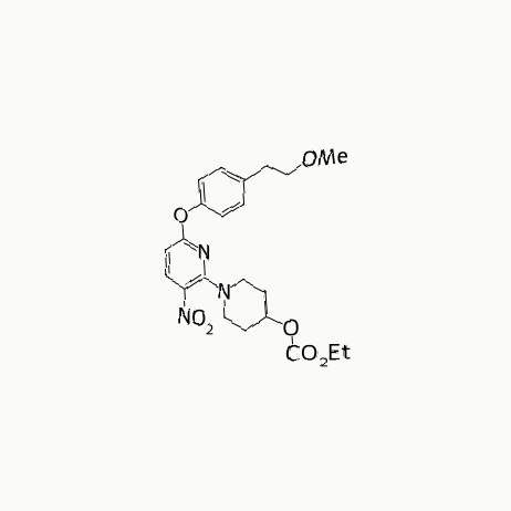 CCOC(=O)OC1CCN(c2nc(Oc3ccc(CCOC)cc3)ccc2[N+](=O)[O-])CC1